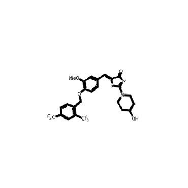 COc1cc(/C=C2\SC(N3CCC(O)CC3)=NC2=O)ccc1OCc1ccc(C(F)(F)F)cc1C(F)(F)F